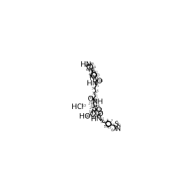 Cc1ncsc1-c1ccc(CCNC(=O)[C@@H]2C[C@@H](O)CN2C(=O)C(C)(C)[C@H](C)NC(=O)CCCCCNC(=O)c2ccc(N3CCNCC3)cn2)cc1.Cl